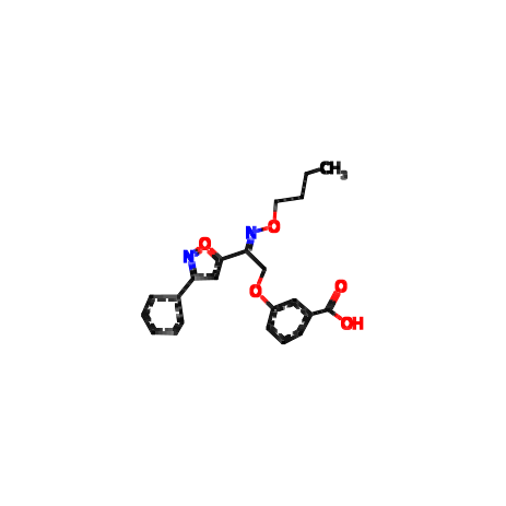 CCCCO/N=C(\COc1cccc(C(=O)O)c1)c1cc(-c2ccccc2)no1